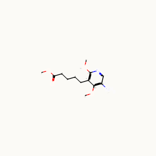 COC(=O)CCCCc1c(OC)ncc(N)c1OC